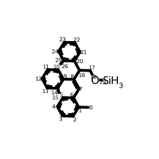 Cc1ccccc1C=C(c1ccccc1C)C(CO[SiH3])c1ccccc1C